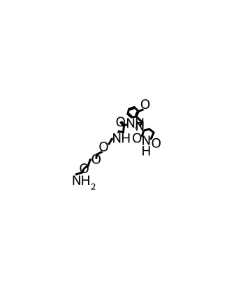 CN(Cc1c(C=O)cccc1NC(=O)CCNCCOCCOCCOCCN)C1CCC(=O)NC1=O